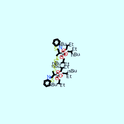 CCCCC(CC)CO[Si](OCC(CC)CCCC)(OCC(CC)CCCC)C(CSSSSSCC(c1nc2ccccc2s1)[Si](OCC(CC)CCCC)(OCC(CC)CCCC)OCC(CC)CCCC)c1nc2ccccc2s1